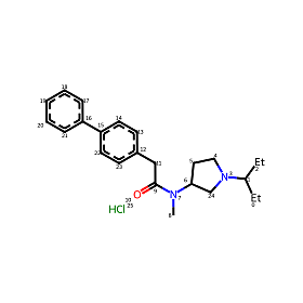 CCC(CC)N1CCC(N(C)C(=O)Cc2ccc(-c3ccccc3)cc2)C1.Cl